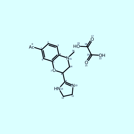 CC(=O)c1ccc2c(c1)OC(C1=NCCN1)CN2C.O=C(O)C(=O)O